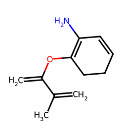 C=C(C)C(=C)OC1=C(N)C=CCC1